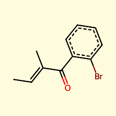 C/C=C(\C)C(=O)c1ccccc1Br